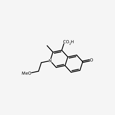 COCCn1cc2ccc(=O)cc-2c(C(=O)O)c1C